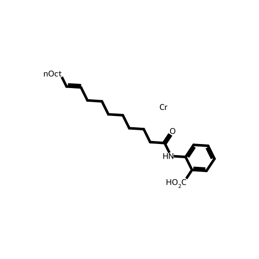 CCCCCCCCC=CCCCCCCCC(=O)Nc1ccccc1C(=O)O.[Cr]